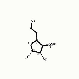 COC1[C@H](CCO)O[C@@H](I)[C@H]1O